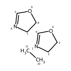 C1=NCCO1.C1=NCCO1.CC